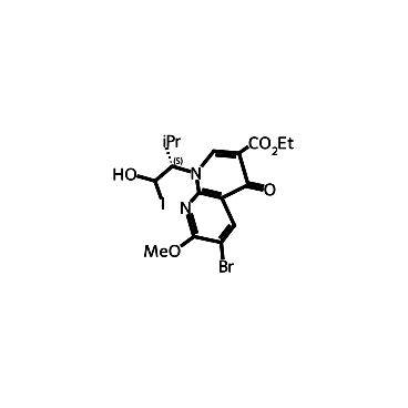 CCOC(=O)c1cn([C@@H](C(C)C)C(O)I)c2nc(OC)c(Br)cc2c1=O